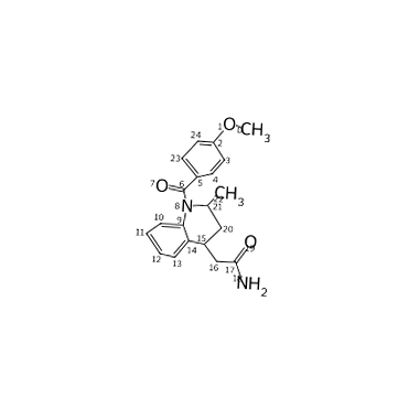 COc1ccc(C(=O)N2c3ccccc3C(CC(N)=O)CC2C)cc1